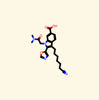 CN(C)C(=O)Cn1c(-c2cnco2)c(CCCCCCC#N)c2ccc(C(=O)O)cc21